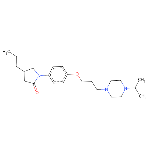 CCCC1CC(=O)N(c2ccc(OCCCN3CCN(C(C)C)CC3)cc2)C1